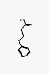 NC(=O)[CH]COc1ccccc1